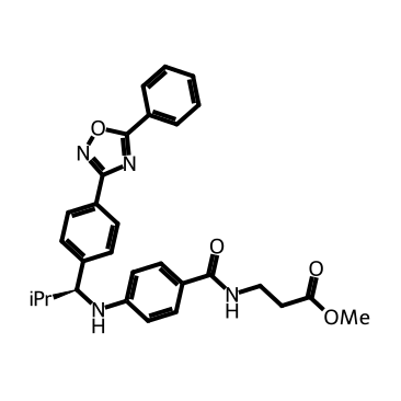 COC(=O)CCNC(=O)c1ccc(N[C@H](c2ccc(-c3noc(-c4ccccc4)n3)cc2)C(C)C)cc1